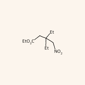 CCOC(=O)CC(CC)(CC)C[N+](=O)[O-]